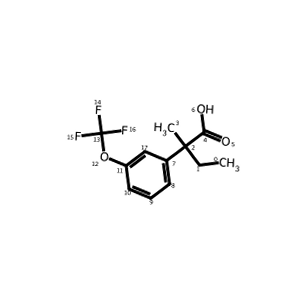 CCC(C)(C(=O)O)c1cccc(OC(F)(F)F)c1